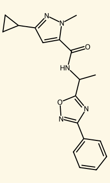 CC(NC(=O)c1cc(C2CC2)nn1C)c1nc(-c2ccccc2)no1